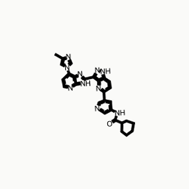 Cc1cn(-c2ccnc3[nH]c(-c4n[nH]c5ccc(-c6cncc(NC(=O)C7CCCCC7)c6)nc45)nc23)cn1